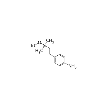 CCO[Si](C)(C)CCc1ccc(N)cc1